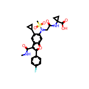 CNC(=O)c1c(-c2ccc(F)cc2)oc2cc(N(CC(=O)NC3(C(=O)O)CC3)S(C)(=O)=O)c(C3CC3)cc12